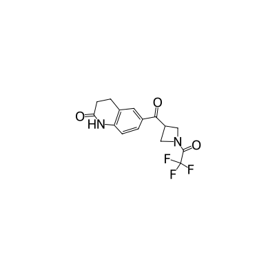 O=C1CCc2cc(C(=O)C3CN(C(=O)C(F)(F)F)C3)ccc2N1